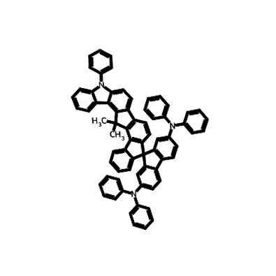 CC1(C)c2c(ccc3c2-c2ccccc2C32c3cc(N(c4ccccc4)c4ccccc4)ccc3-c3ccc(N(c4ccccc4)c4ccccc4)cc32)-c2ccc3c(c21)c1ccccc1n3-c1ccccc1